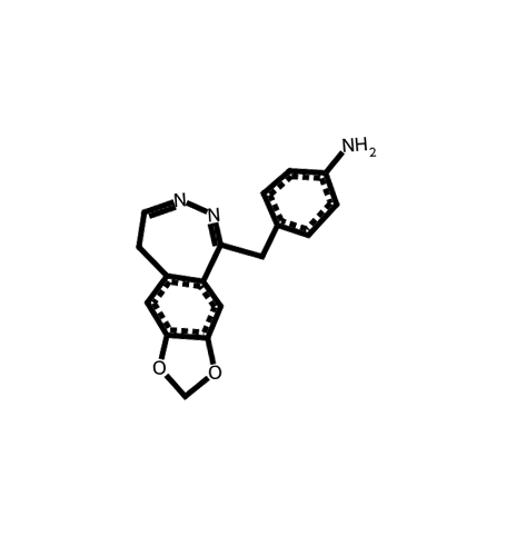 Nc1ccc(CC2=NN=CCc3cc4c(cc32)OCO4)cc1